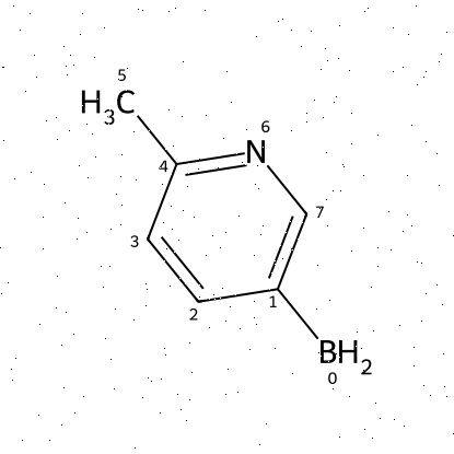 Bc1ccc(C)nc1